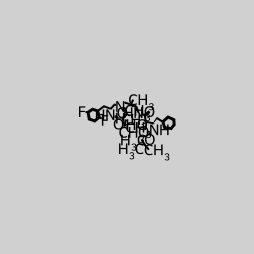 CC(C)(CNCC(Cc1cc(F)ccc1F)NC(=O)OC(C)(C)C)CNC(=O)[C@@H](O)[C@@H](Cc1ccccc1)NC(=O)OC(C)(C)C